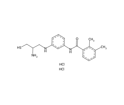 Cc1cccc(C(=O)Nc2cccc(NCC(N)CS)c2)c1C.Cl.Cl